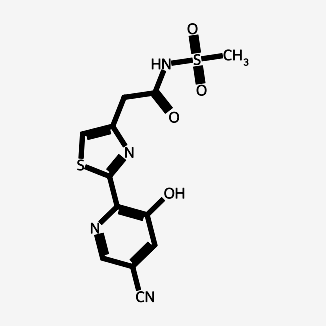 CS(=O)(=O)NC(=O)Cc1csc(-c2ncc(C#N)cc2O)n1